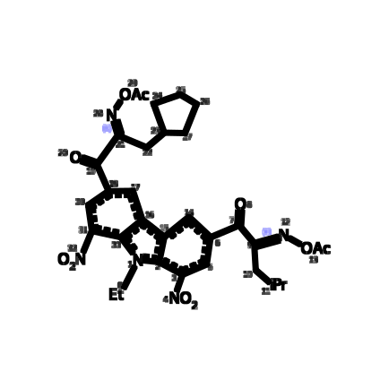 CCn1c2c([N+](=O)[O-])cc(C(=O)/C(CC(C)C)=N/OC(C)=O)cc2c2cc(C(=O)/C(CC3CCCC3)=N/OC(C)=O)cc([N+](=O)[O-])c21